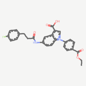 CCOC(=O)c1ccc(-n2cc(C(=O)O)c3cc(NC(=O)CCc4ccc(F)cc4)ccc32)cc1